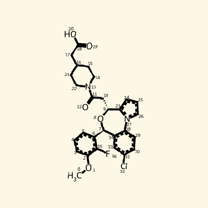 COc1cccc([C@H]2O[C@H](CC(=O)N3CCC(CC(=O)O)CC3)c3cccn3-c3ccc(Cl)cc32)c1F